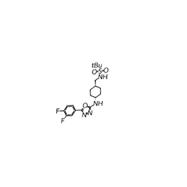 CC(C)(C)S(=O)(=O)NC[C@H]1CC[C@H](Nc2nnc(-c3ccc(F)c(F)c3)o2)CC1